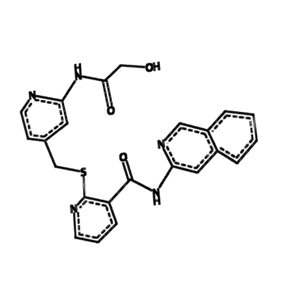 O=C(CO)Nc1cc(CSc2ncccc2C(=O)Nc2cc3ccccc3cn2)ccn1